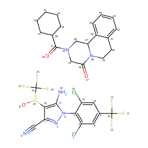 N#Cc1nn(-c2c(Cl)cc(C(F)(F)F)cc2Cl)c(N)c1[S+]([O-])C(F)(F)F.O=C(C1CCCCC1)N1CC(=O)N2CCc3ccccc3C2C1